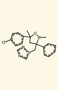 CN1OC(C)(c2ccc(Cl)cc2)CC1(Cn1cncn1)c1ccccc1